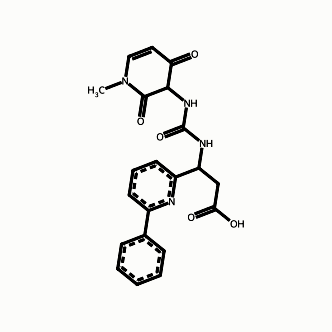 CN1C=CC(=O)C(NC(=O)NC(CC(=O)O)c2cccc(-c3ccccc3)n2)C1=O